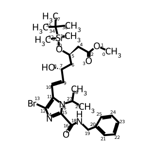 COC(=O)C[C@@H](C[C@@H](O)C=Cc1c(Br)nc(C(=O)NCc2ccccc2)n1C(C)C)O[Si](C)(C)C(C)(C)C